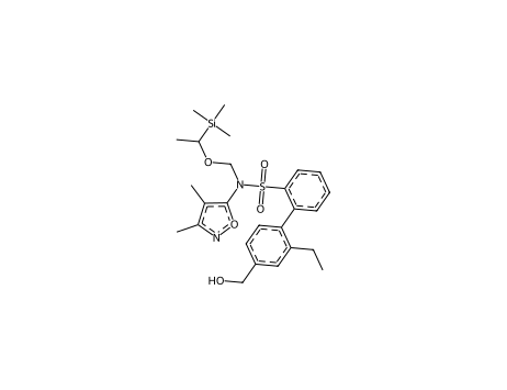 CCc1cc(CO)ccc1-c1ccccc1S(=O)(=O)N(COC(C)[Si](C)(C)C)c1onc(C)c1C